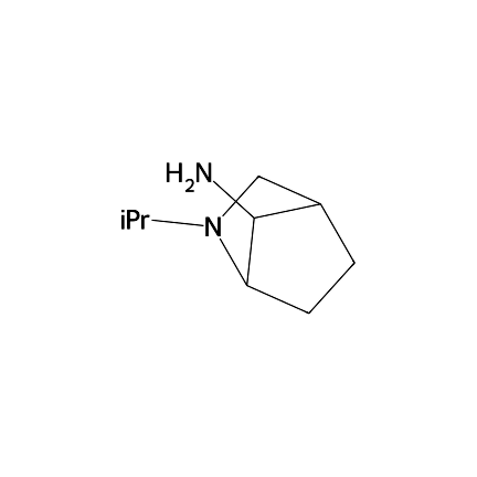 CC(C)N1CC2CCC1C2N